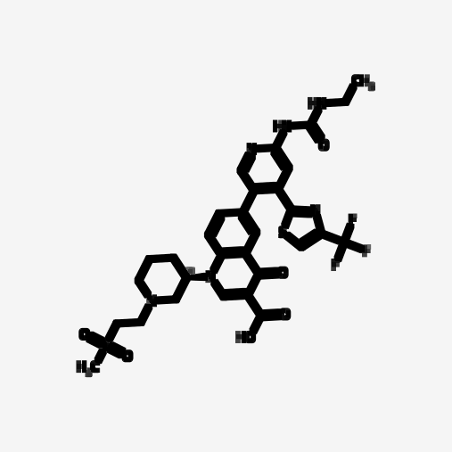 CCNC(=O)Nc1cc(-c2nc(C(F)(F)F)cs2)c(-c2ccc3c(c2)c(=O)c(C(=O)O)cn3[C@@H]2CCCN(CCS(C)(=O)=O)C2)cn1